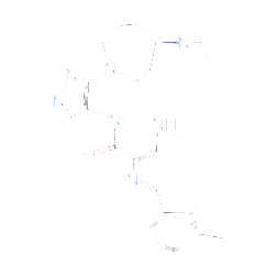 Cc1cccc(-c2nc(C(=O)Nc3cnn(C)c3N3CCC[C@@H](N)CC3)c(N)s2)c1F